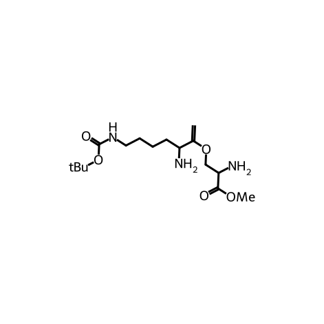 C=C(OCC(N)C(=O)OC)C(N)CCCCNC(=O)OC(C)(C)C